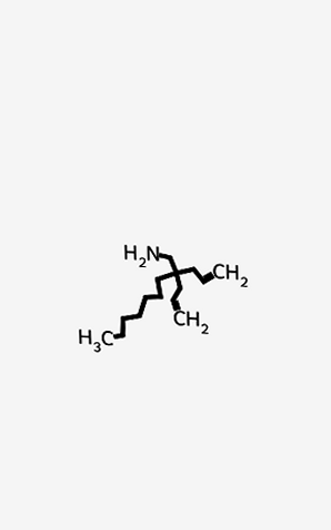 C=CCC(CN)(CC=C)CCCCCCC